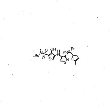 CC[C@@H](Nc1nsnc1Nc1csc(S(=O)(=O)N(C)C(C)(C)C)c1O)c1ccc(C)o1